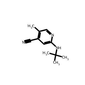 Cc1cnc(NC(C)(C)C)cc1C#N